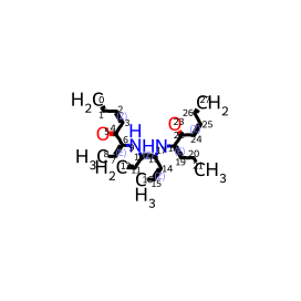 C=C/C=C\C(=O)/C(=C\C)N/C(C=C)=C(/C=C\C)N/C(=C/CC)C(=O)/C=C\C=C